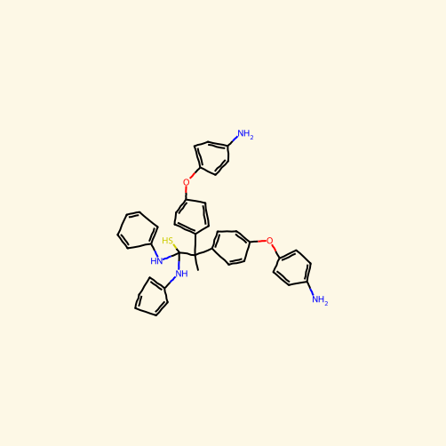 CC(c1ccc(Oc2ccc(N)cc2)cc1)(c1ccc(Oc2ccc(N)cc2)cc1)C(S)(Nc1ccccc1)Nc1ccccc1